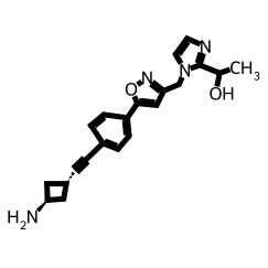 CC(O)c1nccn1Cc1cc(-c2ccc(C#C[C@H]3C[C@H](N)C3)cc2)on1